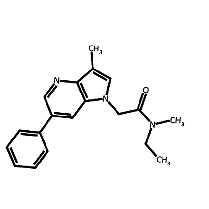 CCN(C)C(=O)Cn1cc(C)c2ncc(-c3ccccc3)cc21